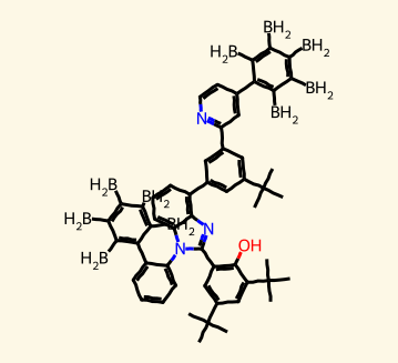 Bc1c(B)c(B)c(-c2ccnc(-c3cc(-c4cccc5c4nc(-c4cc(C(C)(C)C)cc(C(C)(C)C)c4O)n5-c4ccccc4-c4c(B)c(B)c(B)c(B)c4B)cc(C(C)(C)C)c3)c2)c(B)c1B